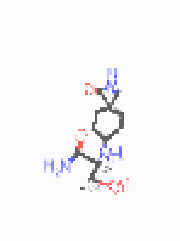 C[C@@H](O)[C@H](NC1CCC2(CC1)CNC2=O)C(N)=O